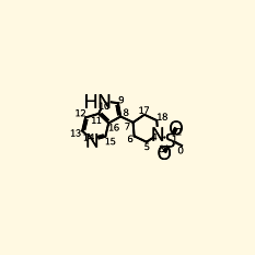 CS(=O)(=O)N1CCC(c2c[nH]c3ccncc23)CC1